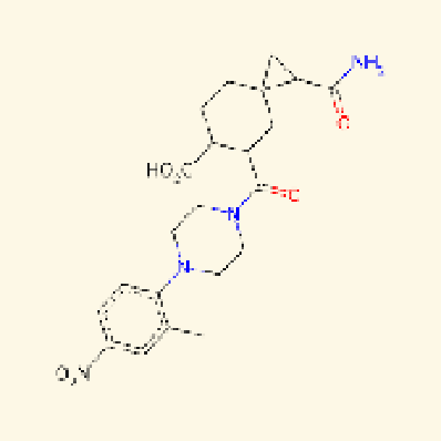 Cc1cc([N+](=O)[O-])ccc1N1CCN(C(=O)C2CC3(CCC2C(=O)O)CC3C(N)=O)CC1